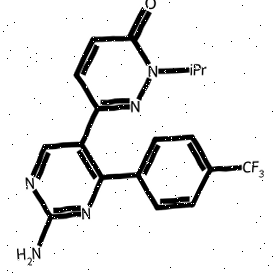 CC(C)n1nc(-c2cnc(N)nc2-c2ccc(C(F)(F)F)cc2)ccc1=O